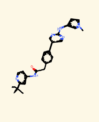 Cn1ccc(Nc2ncc(-c3ccc(CC(=O)Nc4ccnc(C(C)(C)C)c4)cc3)cn2)c1